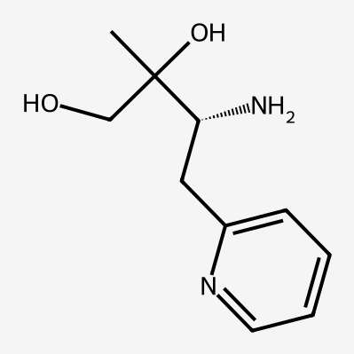 CC(O)(CO)[C@H](N)Cc1ccccn1